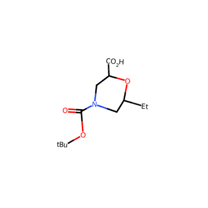 CCC1CN(C(=O)OC(C)(C)C)CC(C(=O)O)O1